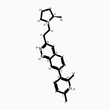 Cc1ccc(-c2ccc3cc(CCN4CCC[C@H]4C)nnc3c2)c(C)n1